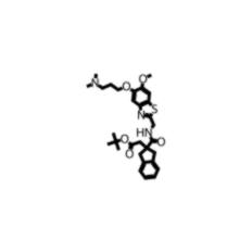 COc1cc2sc(CNC(=O)C3(CC(=O)OC(C)(C)C)Cc4ccccc4C3)nc2cc1OCCCN(C)C